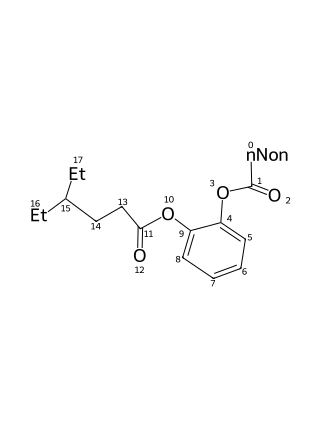 CCCCCCCCCC(=O)Oc1ccccc1OC(=O)CCC(CC)CC